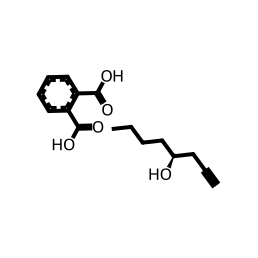 C#CC[C@@H](O)CCCC.O=C(O)c1ccccc1C(=O)O